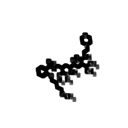 COCCCCOc1ccccc1C(=O)NCC(CC(N)C(O)CC(C(=O)NCCN1CCOCC1)C(C)C)C(C)C